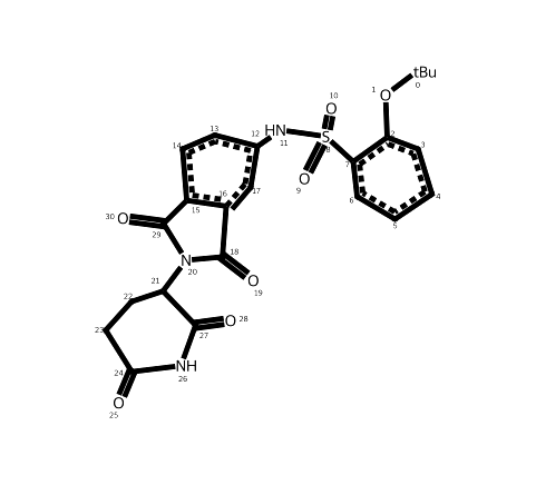 CC(C)(C)Oc1ccccc1S(=O)(=O)Nc1ccc2c(c1)C(=O)N(C1CCC(=O)NC1=O)C2=O